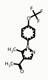 CC(=O)c1cnn(-c2ccc(OC(F)(F)F)cc2)c1C